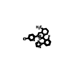 CC1CCCN(C(=O)c2c(F)cccc2-n2nccn2)C1CNc1ccc(Cl)cn1